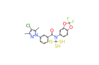 Cc1nn(-c2cccc(C(=O)N(c3ccc4c(c3)OC(F)(F)O4)C(S)(S)S)c2)c(C)c1Cl